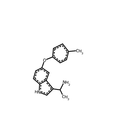 Cc1ccc(Oc2ccc3[nH]cc(C(C)N)c3c2)cc1